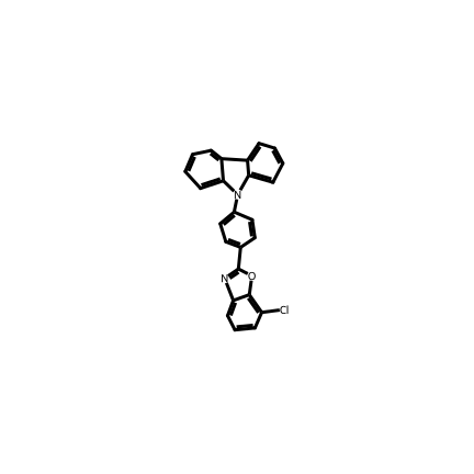 Clc1cccc2nc(-c3ccc(-n4c5ccccc5c5ccccc54)cc3)oc12